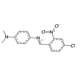 CN(C)c1ccc(/N=C/c2ccc(Cl)cc2[N+](=O)[O-])cc1